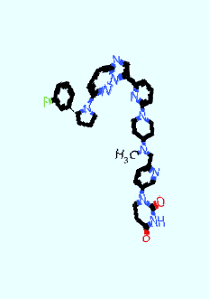 CN(Cc1ccc(N2CCC(=O)NC2=O)cn1)C1CCN(c2cccc(-c3cnc4ccc(N5CCC[C@@H]5c5cccc(F)c5)nn34)n2)CC1